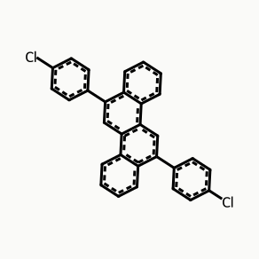 Clc1ccc(-c2cc3c4ccccc4c(-c4ccc(Cl)cc4)cc3c3ccccc23)cc1